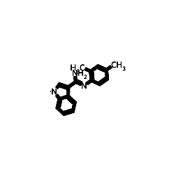 Cc1ccc(N=C(N)C2=C[N]c3ccccc32)c(C)c1